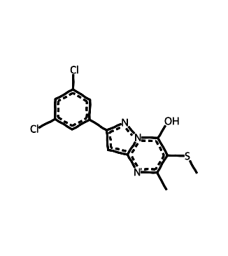 CSc1c(C)nc2cc(-c3cc(Cl)cc(Cl)c3)nn2c1O